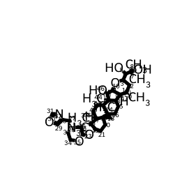 C[C@@H]1CC(C(O)C(C)(C)O)OC2[C@H]1C1(C)CCC34CC35CCC(OC3CN(Cc6cocn6)CCO3)C(C)(C)[C@@H]5CCC4[C@]1(C)[C@H]2O